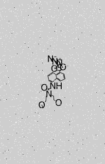 COCCN(CCOC)C(=O)Nc1cccc2c(S(=O)(=O)N=[N+]=[N-])cccc12